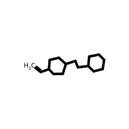 C=CC1CCC(CCC2CCCCC2)CC1